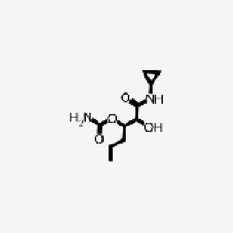 CCCC(OC(N)=O)C(O)C(=O)NC1CC1